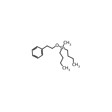 CCC[CH2][Sn]([CH3])([CH2]CCC)[O]CCc1ccccc1